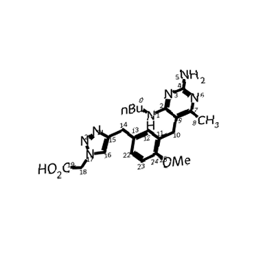 CCCCNc1nc(N)nc(C)c1Cc1cc(Cc2cn(CC(=O)O)nn2)ccc1OC